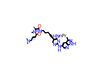 CCCNc1nc(Nc2cnc3[nH]nc(C)c3c2)ncc1C#CCCCNC(=O)[C@H](C)N(C)C(=O)/C=C/CN(C)C